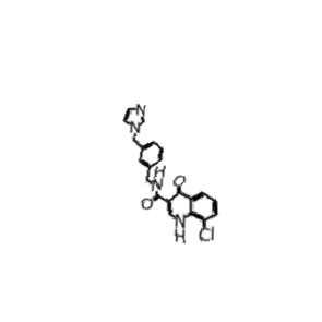 O=C(NCc1cccc(Cn2ccnc2)c1)c1c[nH]c2c(Cl)cccc2c1=O